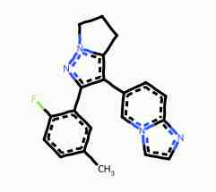 Cc1ccc(F)c(-c2nn3c(c2-c2ccc4nccn4c2)CCC3)c1